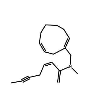 C=C(/C=C\CC#CC)N(C)C/C1=C/CCCC/C=C\C1